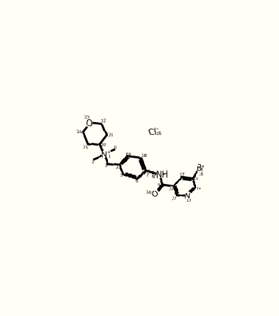 C[N+](C)(Cc1ccc(NC(=O)c2cncc(Br)c2)cc1)C1CCOCC1.[Cl-]